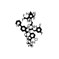 CN1N=C(NS(C)(=O)=O)C2C(Cl)=CC=C(n3c([C@H](Cc4cc(F)cc(F)c4)NC(=O)Cn4nc(C(F)F)c5c4C(F)(F)[C@@H]4C[C@H]54)nc4cc(-c5ccccn5)ccc4c3=O)C21